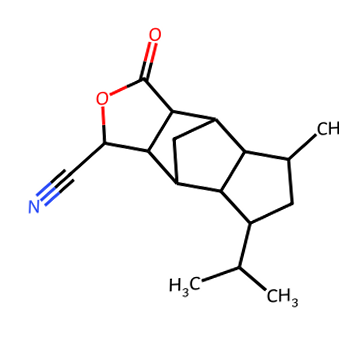 CC(C)C1CC(C)C2C3CC(C4C(C#N)OC(=O)C34)C12